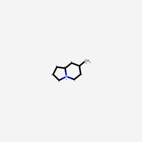 CC1CCN2CCCC2C1